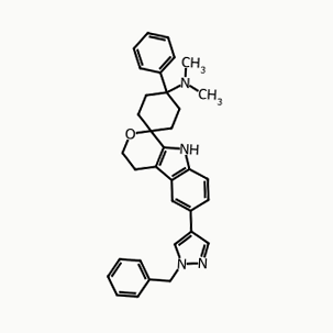 CN(C)C1(c2ccccc2)CCC2(CC1)OCCc1c2[nH]c2ccc(-c3cnn(Cc4ccccc4)c3)cc12